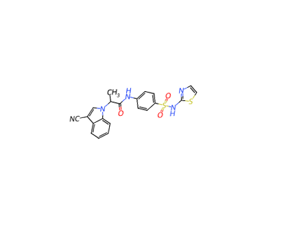 CC(C(=O)Nc1ccc(S(=O)(=O)Nc2nccs2)cc1)n1cc(C#N)c2ccccc21